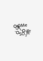 CON1c2ccccc2C=CC1C=Cc1ccc(C(C)C)cc1.Cc1ccc(S(=O)(=O)O)cc1